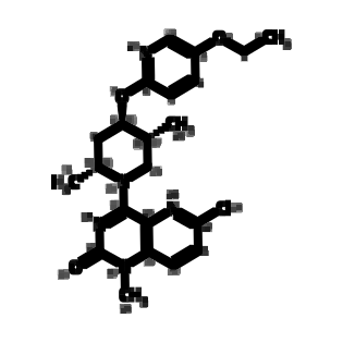 CCOc1ccc(O[C@@H]2C[C@@H](C)N(c3nc(=O)n(C)c4ccc(Cl)nc34)C[C@H]2C)nc1